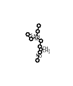 CC1(C)c2cc(-c3cccc(-c4nc(-c5ccc(-c6ccccc6)cc5)nc(-c5cccc6c5sc5ccccc56)n4)c3)ccc2-c2cc3nc(-c4ccccc4)oc3cc21